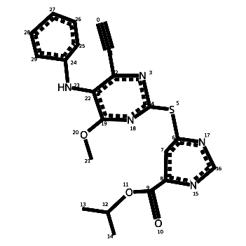 C#Cc1nc(Sc2cc(C(=O)OC(C)C)ncn2)nc(OC)c1Nc1ccccc1